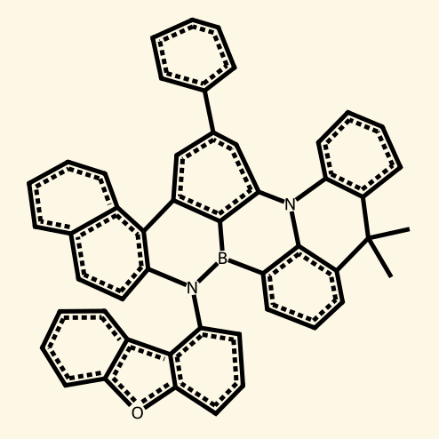 CC1(C)c2ccccc2N2c3cc(-c4ccccc4)cc4c3B(c3cccc1c32)N(c1cccc2oc3ccccc3c12)c1ccc2ccccc2c1-4